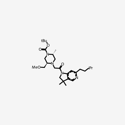 COC[C@H]1CN(C(=O)OC(C)(C)C)[C@H](C)CN1CC(=O)N1CC(C)(C)c2cnc(CCC(C)C)cc21